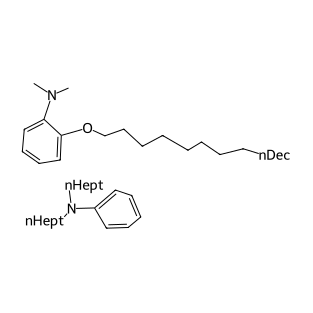 CCCCCCCCCCCCCCCCCCOc1ccccc1N(C)C.CCCCCCCN(CCCCCCC)c1ccccc1